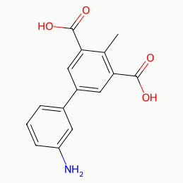 Cc1c(C(=O)O)cc(-c2cccc(N)c2)cc1C(=O)O